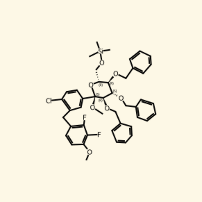 COc1ccc(Cc2cc([C@]3(OC)O[C@H](CO[Si](C)(C)C)[C@@H](OCc4ccccc4)[C@H](OCc4ccccc4)[C@H]3OCc3ccccc3)ccc2Cl)c(F)c1F